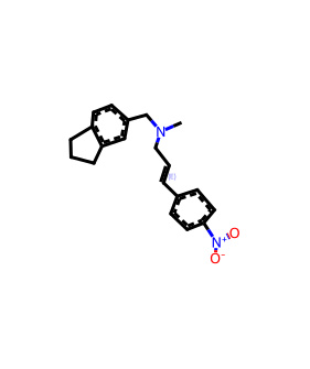 CN(C/C=C/c1ccc([N+](=O)[O-])cc1)Cc1ccc2c(c1)CCC2